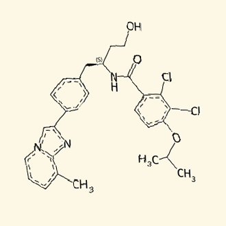 Cc1cccn2cc(-c3ccc(C[C@@H](CCO)NC(=O)c4ccc(OC(C)C)c(Cl)c4Cl)cc3)nc12